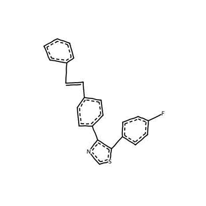 Fc1ccc(-c2scnc2-c2ccc(/C=C/c3ccccc3)cc2)cc1